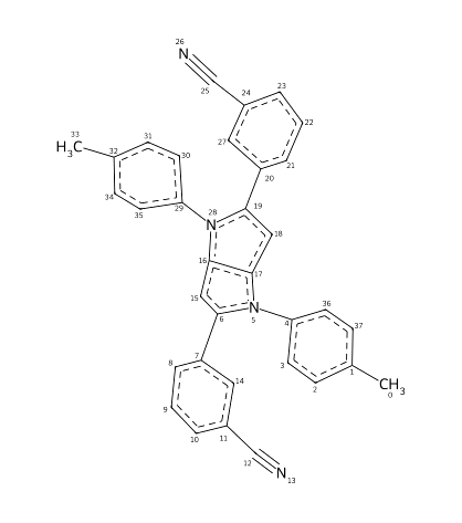 Cc1ccc(-n2c(-c3cccc(C#N)c3)cc3c2cc(-c2cccc(C#N)c2)n3-c2ccc(C)cc2)cc1